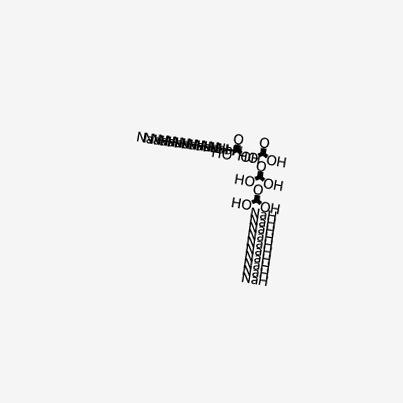 O=C(O)O.O=C(O)O.O=C(O)O.O=C(O)O.[NaH].[NaH].[NaH].[NaH].[NaH].[NaH].[NaH].[NaH].[NaH].[NaH].[NaH].[NaH].[NaH].[NaH].[NaH].[NaH].[NaH].[NaH].[NaH].[NaH].[NaH].[NaH]